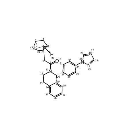 O=C(C[C@@H]1CN2CCC1CC2)N1CCc2ccccc2[C@H]1c1ccc(-n2cncn2)cc1